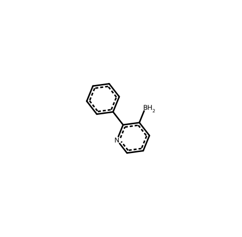 Bc1cccnc1-c1ccccc1